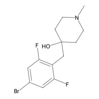 CN1CCC(O)(Cc2c(F)cc(Br)cc2F)CC1